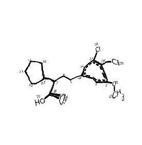 COc1cc(CCC(C(=O)O)C2CCCC2)cc(Cl)c1Cl